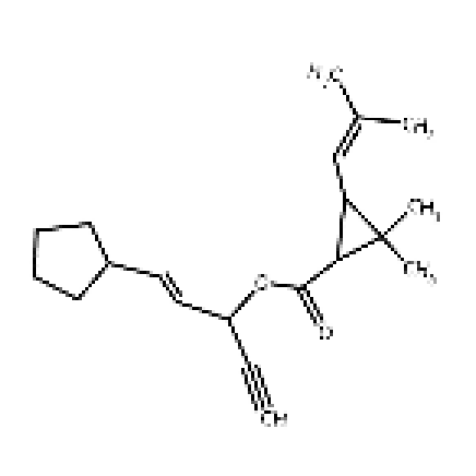 C#CC(/C=C/C1CCCC1)OC(=O)C1C(C=C(C)C)C1(C)C